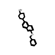 CCCC1CCC(c2ccc3cc(OCc4ccccc4)ccc3c2)CC1